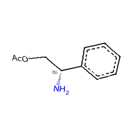 CC(=O)OC[C@@H](N)c1ccccc1